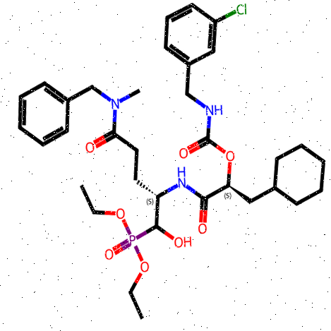 CCOP(=O)(OCC)C(O)[C@H](CCC(=O)N(C)Cc1ccccc1)NC(=O)[C@H](CC1CCCCC1)OC(=O)NCc1cccc(Cl)c1